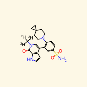 [2H]C([2H])([2H])n1cc(-c2cc(S(N)(=O)=O)ccc2N2CCC3(CC2)CC3)c2cc[nH]c2c1=O